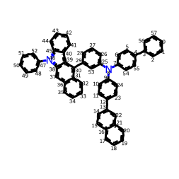 c1ccc(-c2ccc(N(c3ccc(-c4ccc5ccccc5c4)cc3)c3cccc(-c4c5ccccc5cc5c4c4ccccc4n5-c4ccccc4)c3)cc2)cc1